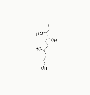 CCC(O)C(O)CCC(O)CCCO